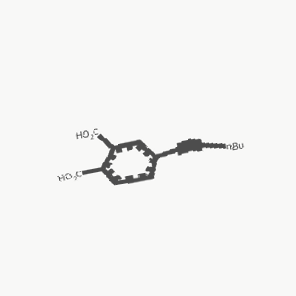 CCCCC#Cc1ccc(C(=O)O)c(C(=O)O)c1